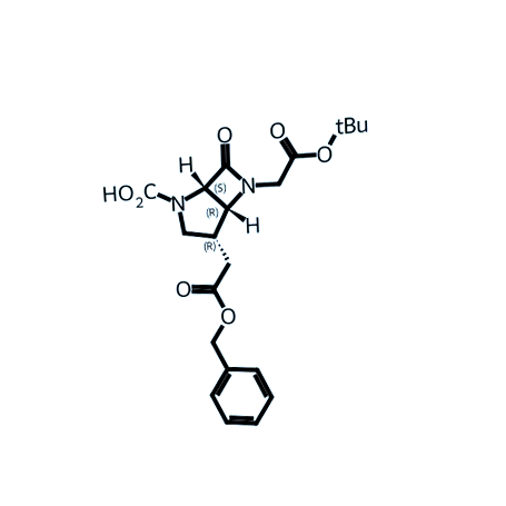 CC(C)(C)OC(=O)CN1C(=O)[C@@H]2[C@H]1[C@H](CC(=O)OCc1ccccc1)CN2C(=O)O